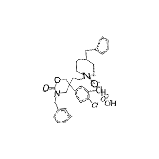 Cl.O.O=C1OCC(CC[N+]2([O-])CCC(Cc3ccccc3)CC2)(c2ccc(Cl)c(Cl)c2)CN1Cc1ccccc1